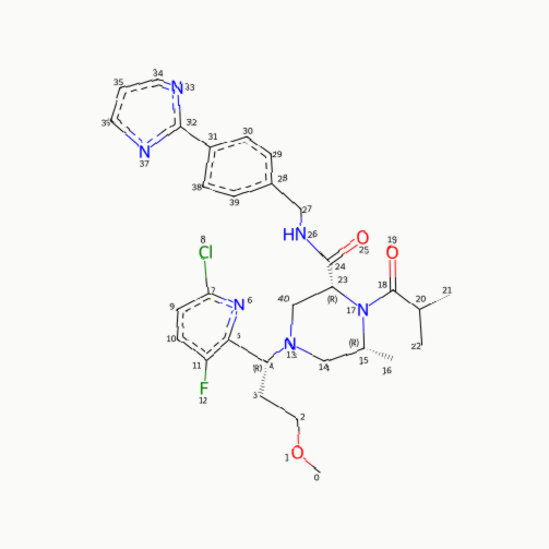 COCC[C@H](c1nc(Cl)ccc1F)N1C[C@@H](C)N(C(=O)C(C)C)[C@@H](C(=O)NCc2ccc(-c3ncccn3)cc2)C1